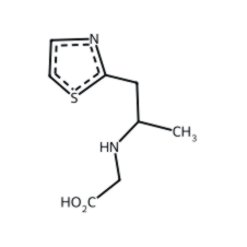 CC(Cc1nccs1)NCC(=O)O